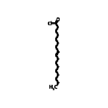 CCCCCCCC/C=C/CCCCCCC(=O)Cl